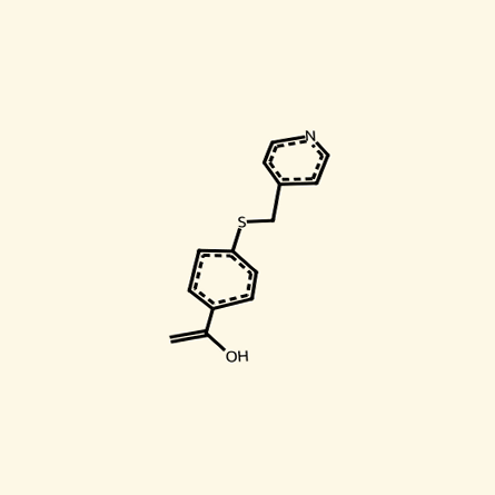 C=C(O)c1ccc(SCc2ccncc2)cc1